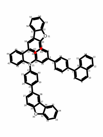 c1cc(-c2ccc(-c3cccc4ccccc34)cc2)cc(N(c2ccc(-c3ccc4oc5ccccc5c4c3)cc2)c2ccccc2-c2ccc3oc4ccccc4c3c2)c1